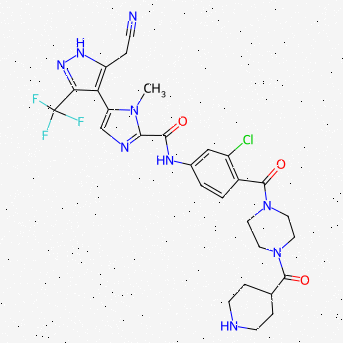 Cn1c(-c2c(C(F)(F)F)n[nH]c2CC#N)cnc1C(=O)Nc1ccc(C(=O)N2CCN(C(=O)C3CCNCC3)CC2)c(Cl)c1